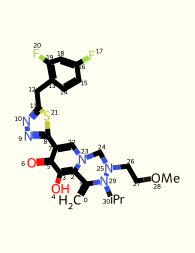 C=C1c2c(O)c(=O)c(-c3nnc(Cc4ccc(F)cc4F)s3)cn2CN(CCOC)N1C(C)C